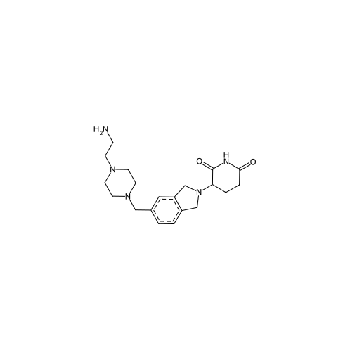 NCCN1CCN(Cc2ccc3c(c2)CN(C2CCC(=O)NC2=O)C3)CC1